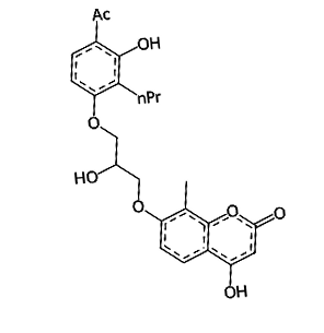 CCCc1c(OCC(O)COc2ccc3c(O)cc(=O)oc3c2C)ccc(C(C)=O)c1O